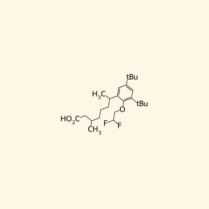 CC(CCCC(C)c1cc(C(C)(C)C)cc(C(C)(C)C)c1OCC(F)F)CC(=O)O